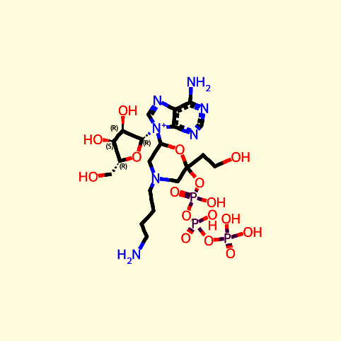 NCCCCN1CC([N+]2([C@@H]3O[C@H](CO)[C@@H](O)[C@H]3O)C=Nc3c(N)ncnc32)OC(CCO)(OP(=O)(O)OP(=O)(O)OP(=O)(O)O)C1